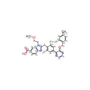 COCCn1c(Cc2c(F)cc(-c3nccnc3OCc3ccc(C)cc3F)cc2F)nc2ccc(C(=O)O)cc21